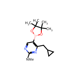 CNc1ncc(B2OC(C)(C)C(C)(C)O2)c(CC2CC2)n1